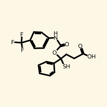 O=C(O)CCC(S)(OC(=O)Nc1ccc(C(F)(F)F)cc1)c1ccccc1